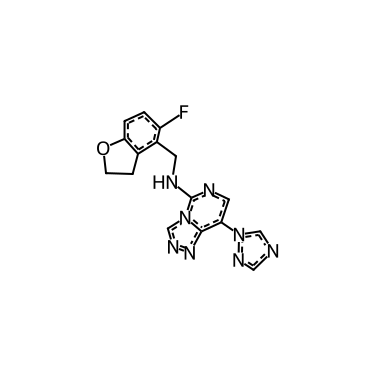 Fc1ccc2c(c1CNc1ncc(-n3cncn3)c3nncn13)CCO2